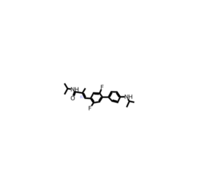 C/C(=C\c1cc(F)c(-c2ccc(NC(C)C)cc2)cc1F)C(=O)NC(C)C